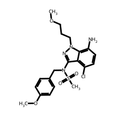 COCCCn1nc(N(Cc2ccc(OC)cc2)S(C)(=O)=O)c2c(Cl)ccc(N)c21